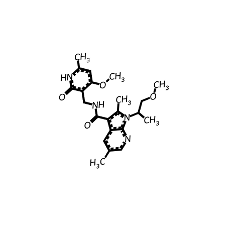 COCC(C)n1c(C)c(C(=O)NCc2c(OC)cc(C)[nH]c2=O)c2cc(C)cnc21